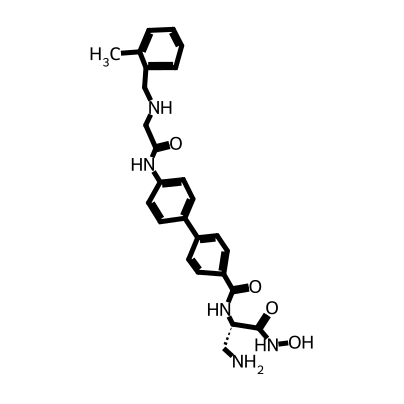 Cc1ccccc1CNCC(=O)Nc1ccc(-c2ccc(C(=O)N[C@@H](CN)C(=O)NO)cc2)cc1